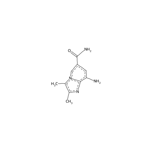 Cc1nc2c(N)cc(C(N)=O)cn2c1C